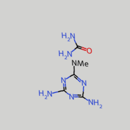 CNc1nc(N)nc(N)n1.NC(N)=O